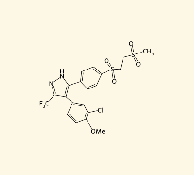 COc1ccc(-c2c(C(F)(F)F)n[nH]c2-c2ccc(S(=O)(=O)CCS(C)(=O)=O)cc2)cc1Cl